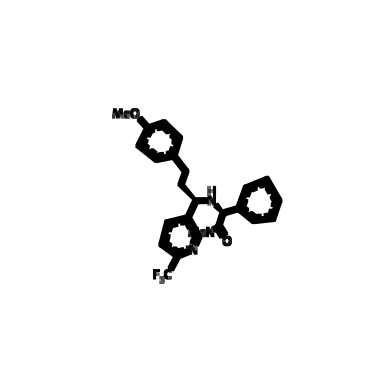 CNC(=O)[C@@H](N[C@H](CCc1ccc(OC)cc1)c1ccc(C(F)(F)F)nc1)c1ccccc1